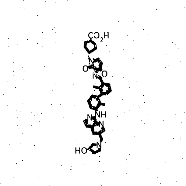 Cc1c(Nc2nccc3cc(CN4CC[C@@H](O)C4)cnc23)cccc1-c1cccc(-c2nc3c(=O)n(C[C@H]4CC[C@H](C(=O)O)CC4)ccc3o2)c1C